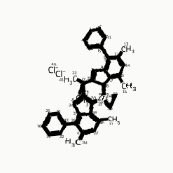 CCC1=Cc2c(-c3ccccc3)c(C)cc(C)c2[CH]1[Zr+2]1([CH]2C(CC)=Cc3c(-c4ccccc4)c(C)cc(C)c32)[CH2][CH2]1.[Cl-].[Cl-]